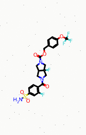 NS(=O)(=O)c1ccc(C(=O)N2CC3CN(C(=O)OCc4ccc(OC(F)(F)F)cc4)CC3(F)C2)c(F)c1